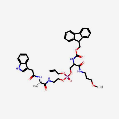 C=CCOP(=O)(OCCNC(=O)[C@@H](NC(=O)Cc1c[nH]c2ccccc12)[C@@H](C)CC)OCC(NC(=O)OCC1c2ccccc2-c2ccccc21)C(=O)NCCCOC=O